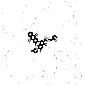 CC1CCN(c2c(F)cc3c(=O)c(C(=O)NCCC4CCCN4C)cn4c5cc6c(=O)c7ccccc7c(=O)c6cc5oc2c34)C1